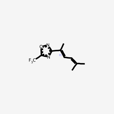 CC(C)=C/C=C(\C)c1noc(C(F)(F)F)n1